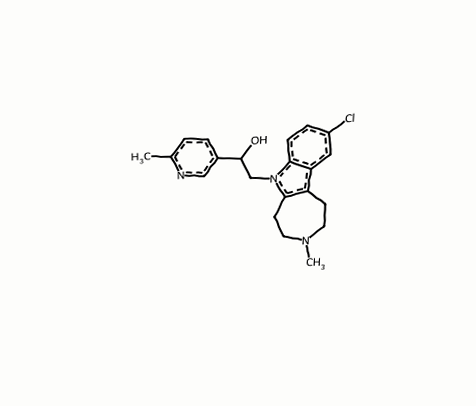 Cc1ccc(C(O)Cn2c3c(c4cc(Cl)ccc42)CCN(C)CC3)cn1